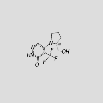 O=c1[nH]ncc(N2CCC[C@@H]2CO)c1C(F)(F)F